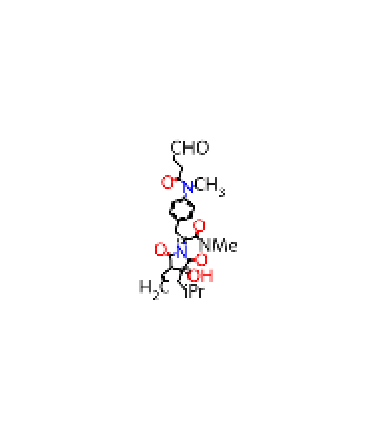 C=CC1C(=O)N([C@@H](Cc2ccc(N(C)C(=O)CCC=O)cc2)C(=O)NC)C(=O)[C@@]1(O)CC(C)C